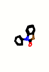 O=c1sc2ccccc2n1C1=CCCCC1